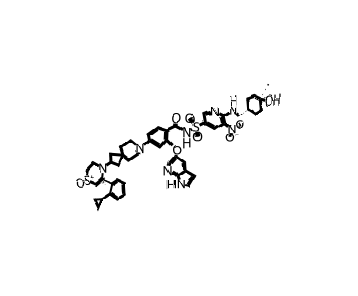 C[C@]1(O)CC[C@H](CNc2ncc(S(=O)(=O)NC(=O)c3ccc(N4CCC5(CC4)CC(N4CC[S+]([O-])C[C@@H]4c4ccccc4C4CC4)C5)cc3Oc3cnc4[nH]ccc4c3)cc2[N+](=O)[O-])CC1